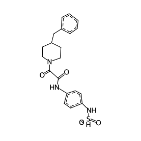 O=C(Nc1ccc(N[SH](=O)=O)cc1)C(=O)N1CCC(Cc2ccccc2)CC1